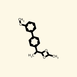 COc1cccc(-c2ccc(C(C)C3OC(C)O3)cc2)c1